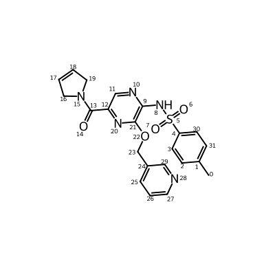 Cc1ccc(S(=O)(=O)Nc2ncc(C(=O)N3CC=CC3)nc2OCc2cccnc2)cc1